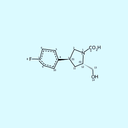 O=C(O)N1C[C@H](c2ccc(F)cc2)C[C@H]1CO